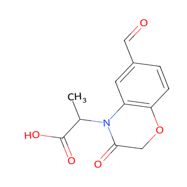 CC(C(=O)O)N1C(=O)COc2ccc(C=O)cc21